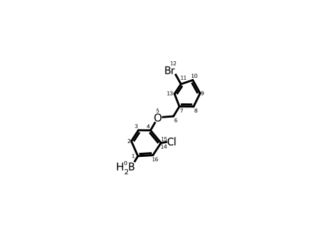 Bc1ccc(OCc2cccc(Br)c2)c(Cl)c1